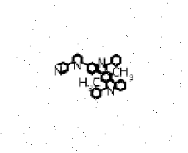 Cc1c2c(-c3ccccc3)nc3cc(-c4cccc(-c5ccncc5)n4)ccc3c2c(C)c2c(-c3ccccc3)nc3ccccc3c12